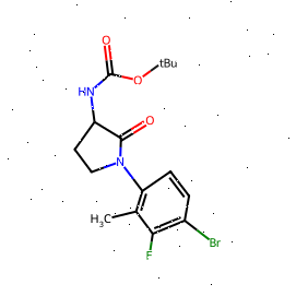 Cc1c(N2CCC(NC(=O)OC(C)(C)C)C2=O)ccc(Br)c1F